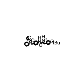 CC(C)(C)Oc1ccc(C[C@H](N)C(=O)Nc2ccc(CN(C(=O)c3ccco3)C3CCCCC3)cc2)cc1